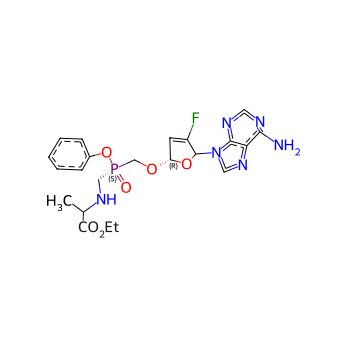 CCOC(=O)C(C)NC[P@@](=O)(CO[C@@H]1C=C(F)C(n2cnc3c(N)ncnc32)O1)Oc1ccccc1